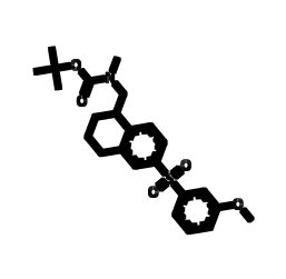 COc1cccc(S(=O)(=O)c2ccc3c(c2)CCCC3CN(C)C(=O)OC(C)(C)C)c1